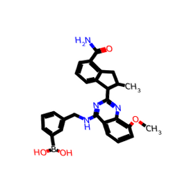 COc1cccc2c(NCc3cccc(B(O)O)c3)nc(C3c4cccc(C(N)=O)c4CC3C)nc12